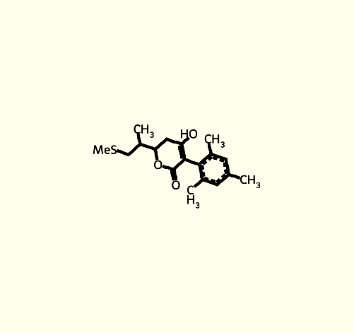 CSCC(C)C1CC(O)=C(c2c(C)cc(C)cc2C)C(=O)O1